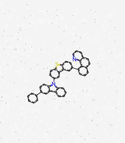 c1ccc(-c2ccc3c(c2)c2ccccc2n3-c2ccc3sc4ccc(-c5cccc6ccc7cccnc7c56)cc4c3c2)cc1